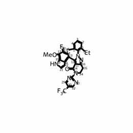 CCc1cccc(CC)c1-n1nc2c(c1-c1cc(F)c(OC)c3[nH]ccc13)C(=O)N(c1ncc(C(F)(F)F)cn1)CC2